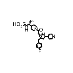 CC(C)C(NC(=O)O)C1CCN(C(=O)Cn2nc(-c3ccncc3)cc2Cc2ccc(F)cc2)CC1